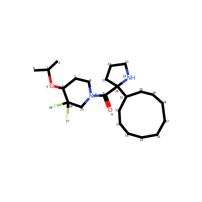 CC(C)OC1CCN(C(=O)C2(C3CCCCCCCCC3)CCCN2)CC1(F)F